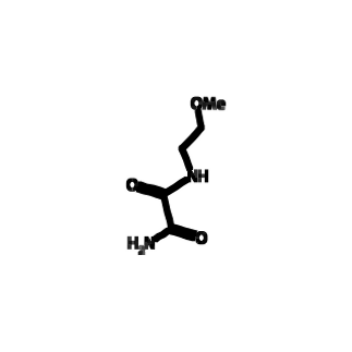 COCCNC(=O)C(N)=O